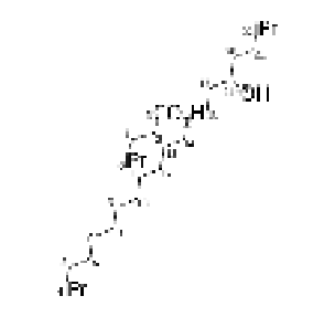 CC(C)CCC(=O)O.CC(C)CCCCCCCCCCCCCC(O)CCC(C)C